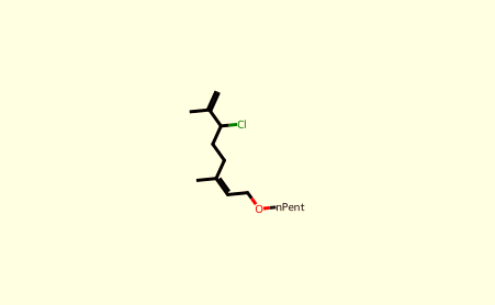 C=C(C)C(Cl)CCC(C)=CCOCCCCC